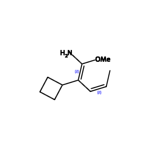 C/C=C\C(=C(\N)OC)C1CCC1